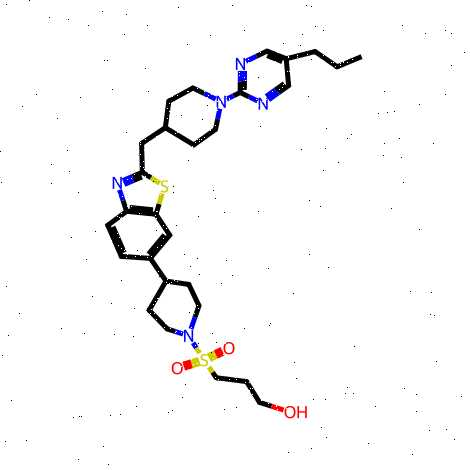 CCCc1cnc(N2CCC(Cc3nc4ccc(C5CCN(S(=O)(=O)CCCO)CC5)cc4s3)CC2)nc1